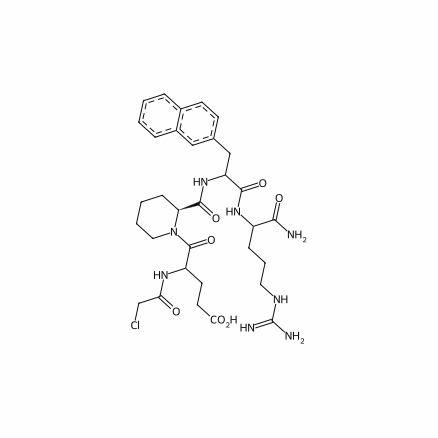 N=C(N)NCCCC(NC(=O)C(Cc1ccc2ccccc2c1)NC(=O)[C@@H]1CCCCN1C(=O)C(CCC(=O)O)NC(=O)CCl)C(N)=O